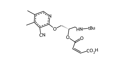 Cc1cnc(OC[C@H](CNC(C)(C)C)OC(=O)/C=C\C(=O)O)c(C#N)c1C